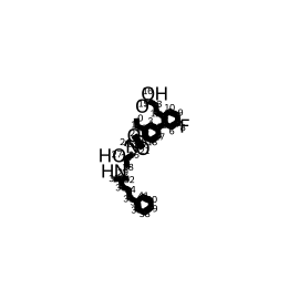 CCc1cc(-c2cc(F)ccc2CCC(=O)O)ccc1S(=O)(=O)N(C)C[C@H](O)CNC(C)(C)CCCc1ccccc1